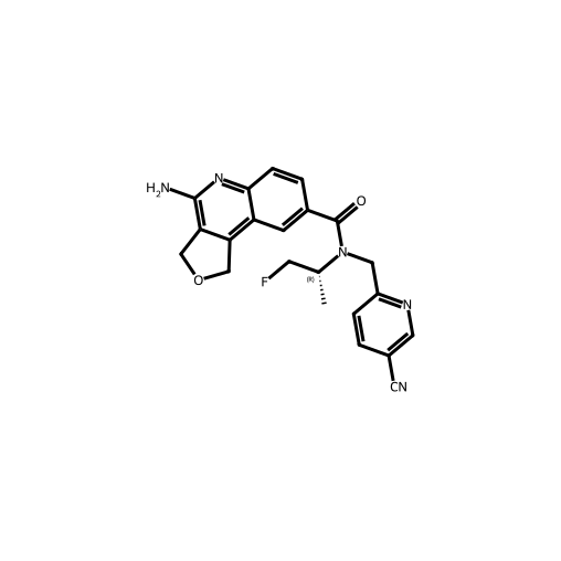 C[C@H](CF)N(Cc1ccc(C#N)cn1)C(=O)c1ccc2nc(N)c3c(c2c1)COC3